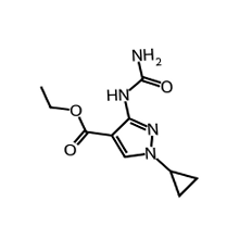 CCOC(=O)c1cn(C2CC2)nc1NC(N)=O